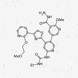 CCNC(=O)Nc1cc(-c2nc(-c3cccnc3OCCOC)cs2)c(-c2cnc(OC)c(C(=O)NN)c2)cn1